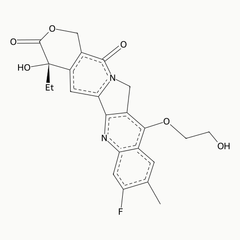 CC[C@@]1(O)C(=O)OCc2c1cc1n(c2=O)Cc2c-1nc1cc(F)c(C)cc1c2OCCO